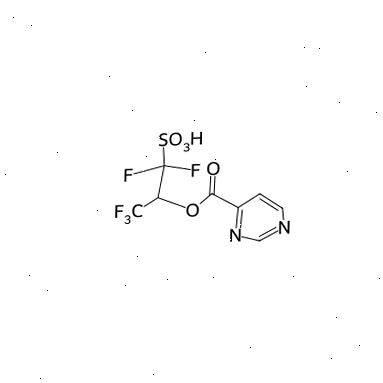 O=C(OC(C(F)(F)F)C(F)(F)S(=O)(=O)O)c1ccncn1